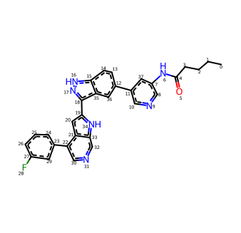 CCCCC(=O)Nc1cncc(-c2ccc3[nH]nc(-c4cc5c(-c6cccc(F)c6)cncc5[nH]4)c3c2)c1